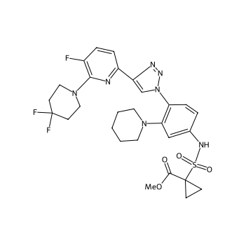 COC(=O)C1(S(=O)(=O)Nc2ccc(-n3cc(-c4ccc(F)c(N5CCC(F)(F)CC5)n4)nn3)c(N3CCCCC3)c2)CC1